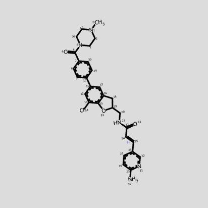 CN1CCN(C(=O)c2ccc(-c3cc(Cl)c4c(c3)CC(CNC(=O)/C=C/c3ccc(N)nc3)O4)cc2)CC1